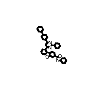 c1ccc(-c2ccc(-c3cc(-c4cccc5oc6cc(-c7nc8ccccc8o7)ccc6c45)nc(-c4ccccc4)n3)cc2)cc1